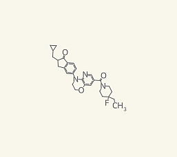 CCC1(F)CCN(C(=O)c2cnc3c(c2)OCCN3c2ccc3c(c2)CC(CC2CC2)C3=O)CC1